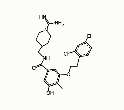 Cc1c(O)cc(C(=O)NCC2CCN(C(=N)N)CC2)cc1OCCc1ccc(Cl)cc1Cl